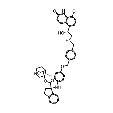 O=C(O[C@H]1CN2CCC1CC2)C1(Nc2ccc(OCc3ccc(CNC[C@H](O)c4ccc(O)c5[nH]c(=O)ccc45)cc3)cc2)CCc2ccccc21